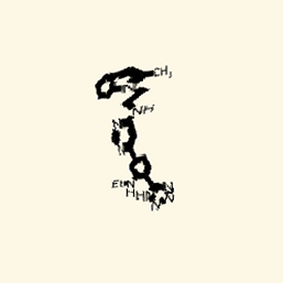 CCNc1cc(-c2cc(NCCn3c(C)cc4ccccc43)ncn2)ccc1-c1nnn[nH]1